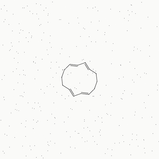 [CH]1/C=C/C=C/CCC/C=C/C=C/CC1